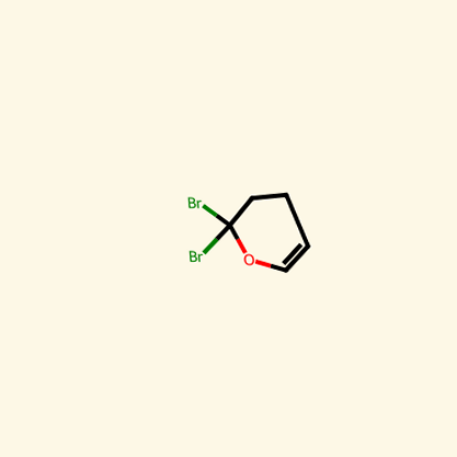 BrC1(Br)CCC=CO1